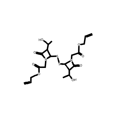 C=CCOC(=O)CN1C(=O)C(C(C)O)C1SSC1C(C(C)O)C(=O)N1CC(=O)OCC=C